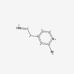 N=CCc1ccnc(Br)c1